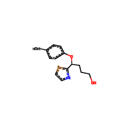 CCCCCCCCc1ccc(OC(CCCO)c2nccs2)cc1